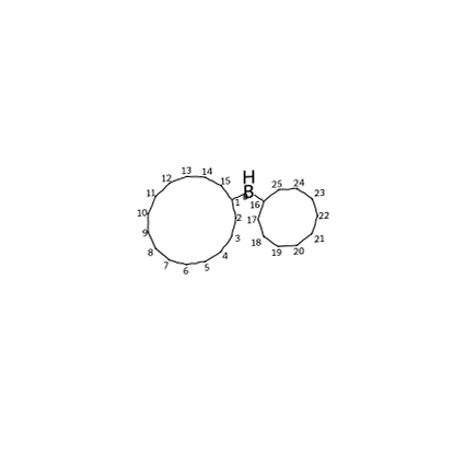 B(C1CCCCCCCCCCCCCC1)C1CCCCCCCCC1